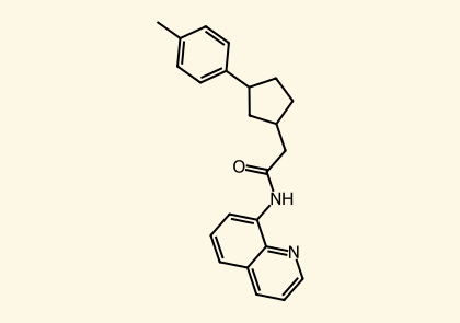 Cc1ccc(C2CCC(CC(=O)Nc3cccc4cccnc34)C2)cc1